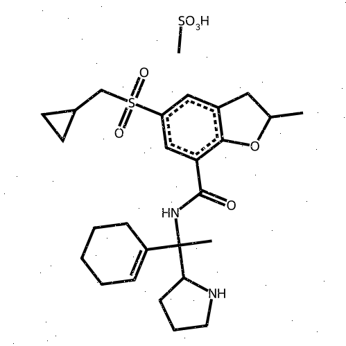 CC1Cc2cc(S(=O)(=O)CC3CC3)cc(C(=O)NC(C)(C3=CCCCC3)C3CCCN3)c2O1.CS(=O)(=O)O